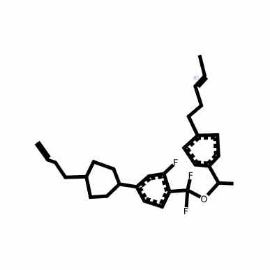 C=CCCC1CCC(c2ccc(C(F)(F)OC(C)c3ccc(CC/C=C/C)cc3)c(F)c2)CC1